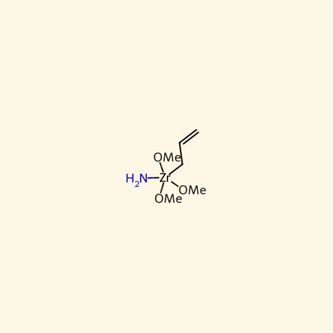 C=C[CH2][Zr]([NH2])([O]C)([O]C)[O]C